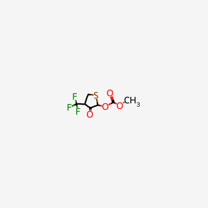 COC(=O)OC1SCC(C(F)(F)F)C1=O